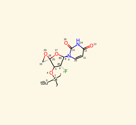 CC(C)(C)[Si](C)(C)OC1[C@@H](F)[C@H](n2ccc(=O)[nH]c2=O)O[C@@]12CO2